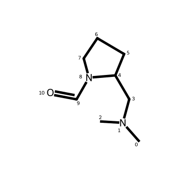 CN(C)CC1CCCN1C=O